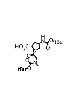 CN(CC(=O)N1C[C@H](NC(=O)OC(C)(C)C)C[C@H]1C(=O)O)C(=O)OC(C)(C)C